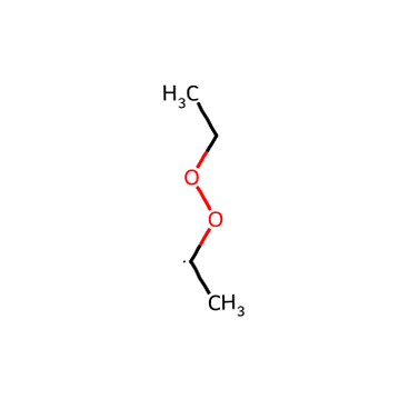 C[CH]OOCC